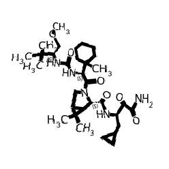 COC[C@@H](NC(=O)N[C@H](C(=O)N1CC2C([C@H]1C(=O)NC(CC1CC1)C(=O)C(N)=O)C2(C)C)C1(C)CCCCC1)C(C)(C)C